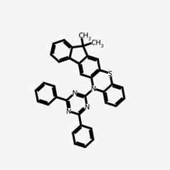 CC1(C)c2ccccc2-c2cc3c(cc21)Sc1ccccc1N3c1nc(-c2ccccc2)nc(-c2ccccc2)n1